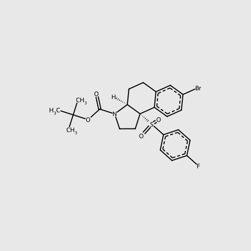 CC(C)(C)OC(=O)N1CC[C@]2(S(=O)(=O)c3ccc(F)cc3)c3ccc(Br)cc3CC[C@H]12